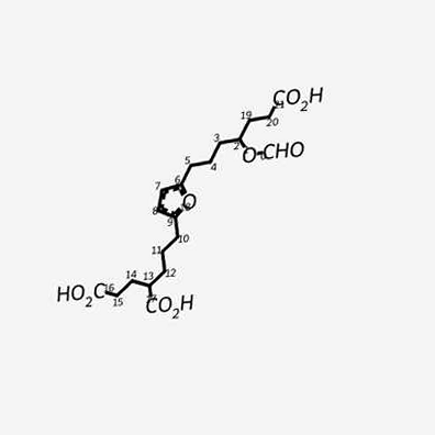 O=COC(CCCc1ccc(CCCC(CCC(=O)O)C(=O)O)o1)CCC(=O)O